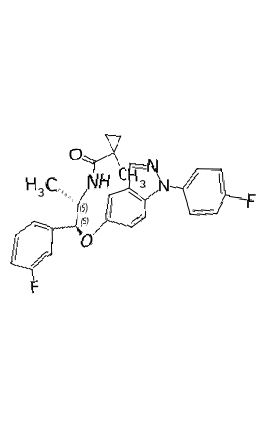 C[C@H](NC(=O)C1(C)CC1)[C@@H](Oc1ccc2c(cnn2-c2ccc(F)cc2)c1)c1cccc(F)c1